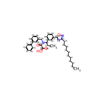 CCCCCCCCCCCc1noc(-c2cccc(C(CC)N(Cc3cccc(-c4ccccc4)c3)C(=O)C(=O)O)c2)n1